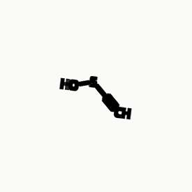 C#CSO